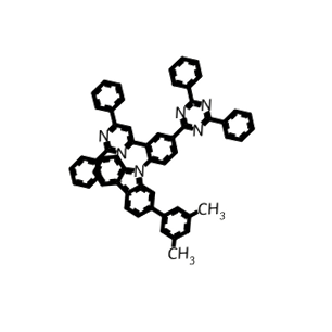 Cc1cc(C)cc(-c2ccc3c4ccccc4n(-c4ccc(-c5nc(-c6ccccc6)nc(-c6ccccc6)n5)cc4-c4cc(-c5ccccc5)nc(-c5ccccc5)n4)c3c2)c1